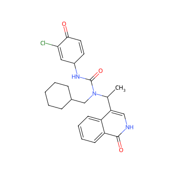 CC(c1c[nH]c(=O)c2ccccc12)N(CC1CCCCC1)C(=O)NC1C=CC(=O)C(Cl)=C1